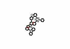 C1=CCCC(n2c3ccccc3c3cccc(-n4c5c(c6cc(-c7ccc8oc9cccc(-c%10nc(-c%11ccccc%11)nc(-c%11ccccc%11)n%10)c9c8c7)ccc64)C=CC5)c32)=C1